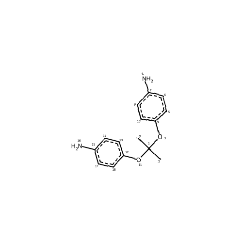 [CH]C(C)(Oc1ccc(N)cc1)Oc1ccc(N)cc1